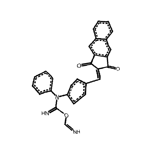 N=COC(=N)N(c1ccccc1)c1ccc(C=C2C(=O)c3cc4ccccc4cc3C2=O)cc1